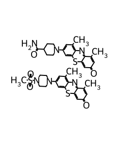 Cc1cc(=O)cc2sc3cc(N4CCC(C(N)=O)CC4)cc(C)c3nc1-2.Cc1cc(=O)cc2sc3cc(N4CCN(S(C)(=O)=O)CC4)cc(C)c3nc1-2